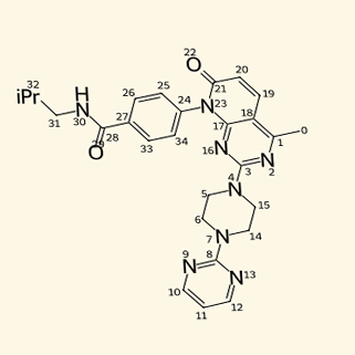 Cc1nc(N2CCN(c3ncccn3)CC2)nc2c1ccc(=O)n2-c1ccc(C(=O)NCC(C)C)cc1